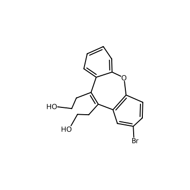 OCCC1=C(CCO)c2cc(Br)ccc2Oc2ccccc21